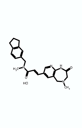 CN1CC(=O)Nc2ncc(C=CC(=O)N(C)Cc3ccc4c(c3)CCC4)cc2C1.Cl